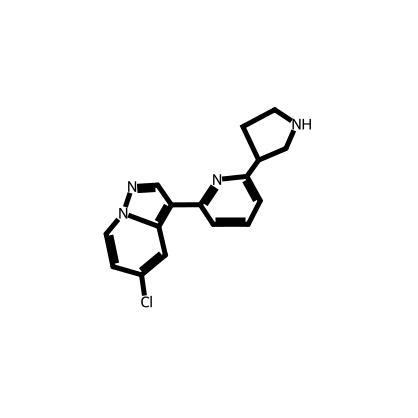 Clc1ccn2ncc(-c3cccc(C4CCNC4)n3)c2c1